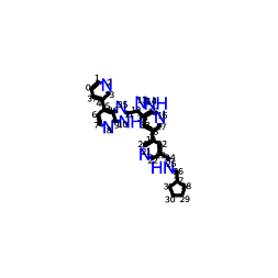 c1cncc(-c2ccnc3[nH]c(-c4n[nH]c5ncc(-c6cncc(CNCC7CCCC7)c6)cc45)nc23)c1